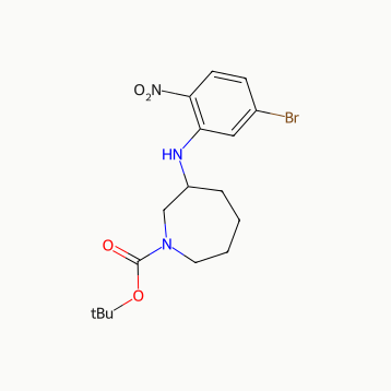 CC(C)(C)OC(=O)N1CCCCC(Nc2cc(Br)ccc2[N+](=O)[O-])C1